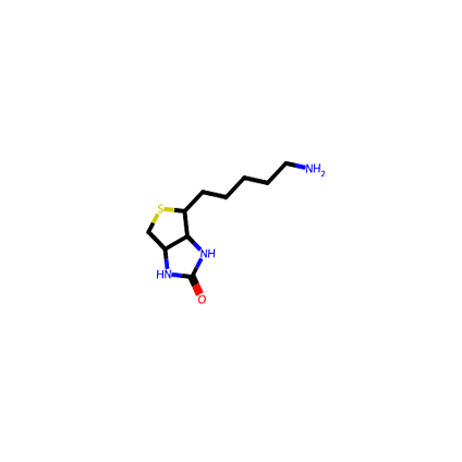 NCCCCCC1SCC2NC(=O)NC21